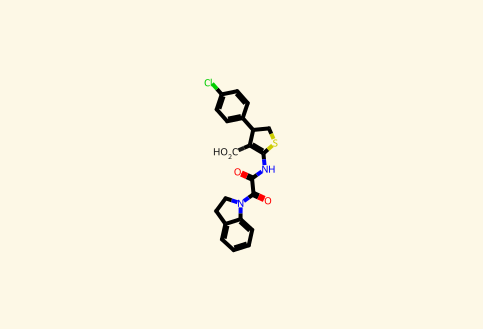 O=C(O)C1=C(NC(=O)C(=O)N2CCc3ccccc32)SCC1c1ccc(Cl)cc1